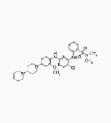 COc1cc(N2CCC(N3CCCCC3)CC2)ccc1Nc1ncc(Cl)c(Nc2ccccc2S(=O)(=O)N(C)C)n1